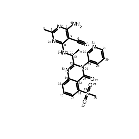 Cc1nc(N)c(C#N)c(N[C@@H](C)c2nc3cccc(S(C)(=O)=O)c3c(=O)n2-c2cccnc2)n1